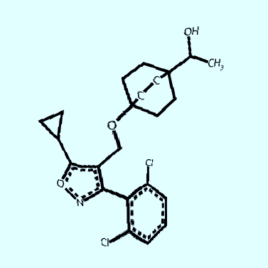 CC(O)C12CCC(OCc3c(-c4c(Cl)cccc4Cl)noc3C3CC3)(CC1)CC2